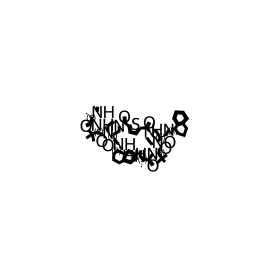 CN[C@@H](C)C(=O)N[C@H](C(=O)N1CCN(C(=O)c2ccc(C(=O)N3CCN(C(=O)[C@@H](NC(=O)[C@H](C)NC)C(C)(C)C)[C@H](C(=O)N[C@@H]4CCCc5ccccc54)C3)s2)C[C@H]1C(=O)N[C@@H]1CCCc2ccccc21)C(C)(C)C